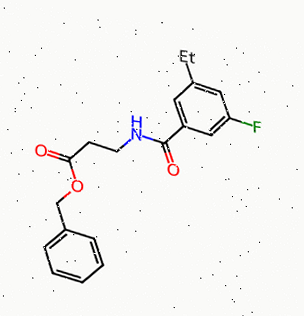 CCc1cc(F)cc(C(=O)NCCC(=O)OCc2ccccc2)c1